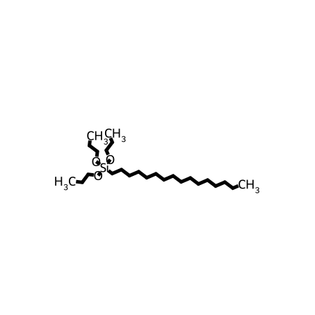 CCCCCCCCCCCCCCCC[Si](OCCC)(OCCC)OCCC